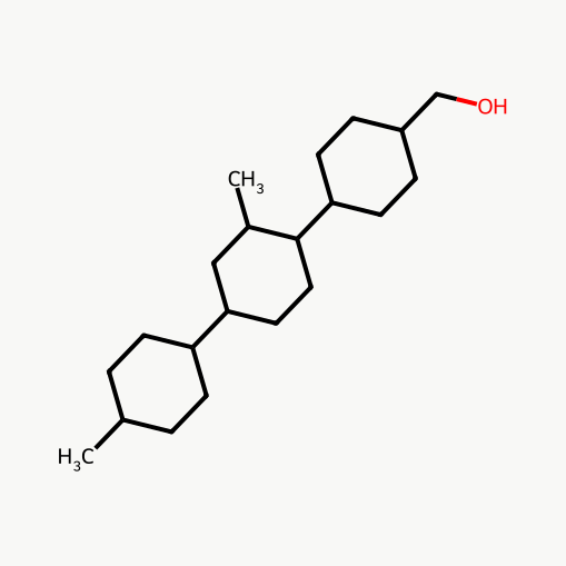 CC1CCC(C2CCC(C3CCC(CO)CC3)C(C)C2)CC1